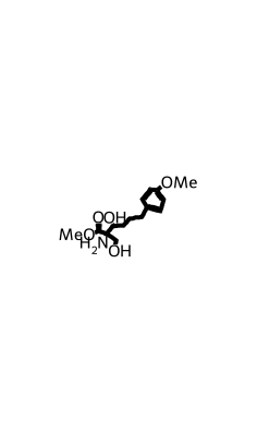 COC(=O)C(N)(CO)C(O)CCCc1ccc(OC)cc1